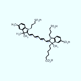 Cc1ccc2c(c1)C(C)(C)C(/C=C/C=C/C=C/C=C1\N(CCCS(=O)(=O)O)c3ccc(S(=O)(=O)O)cc3C1(C)CCCCCC(=O)O)=[N+]2CCCS(=O)(=O)O